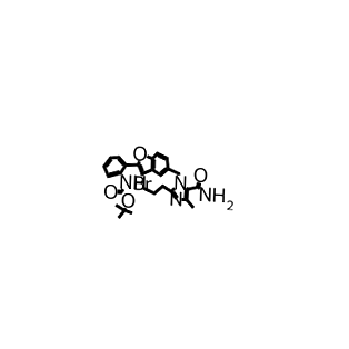 CCCc1nc(C)c(C(N)=O)n1Cc1ccc2oc(-c3ccccc3NC(=O)OC(C)(C)C)c(Br)c2c1